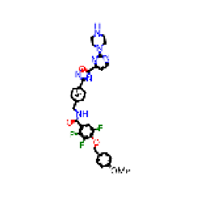 COc1ccc(COc2c(F)cc(C(=O)NCC34CCC(c5noc(-c6ccnc(N7CCNCC7)n6)n5)(CC3)CC4)c(F)c2F)cc1